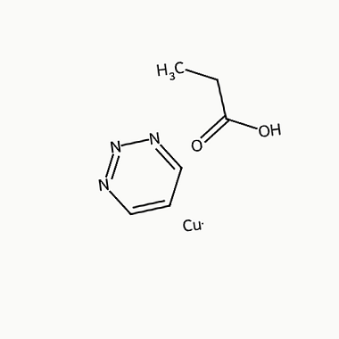 CCC(=O)O.[Cu].c1cnnnc1